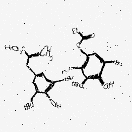 C=C(Cc1cc(C(C)(C)C)c(O)c(C(C)(C)C)c1)C(=O)O.CCC(=O)Oc1cc(C(C)(C)C)c(O)c(C(C)(C)C)c1C